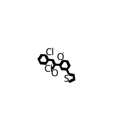 COc1ccc(-c2cccs2)cc1C(C=O)=Cc1c(Cl)cccc1Cl